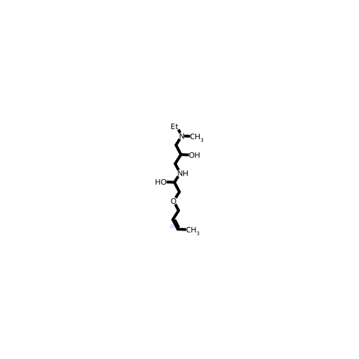 C/C=C\COCC(O)NCC(O)CN(C)CC